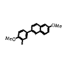 COc1ccc2[c]c(-c3ccc(OC)c(C)c3)ccc2c1